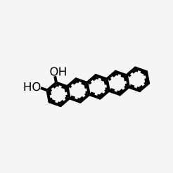 Oc1ccc2cc3cc4cc5ccccc5cc4cc3cc2c1O